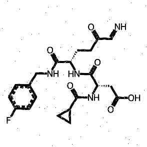 N=CC(=O)CC[C@H](NC(=O)[C@H](CC(=O)O)NC(=O)C1CC1)C(=O)NCc1ccc(F)cc1